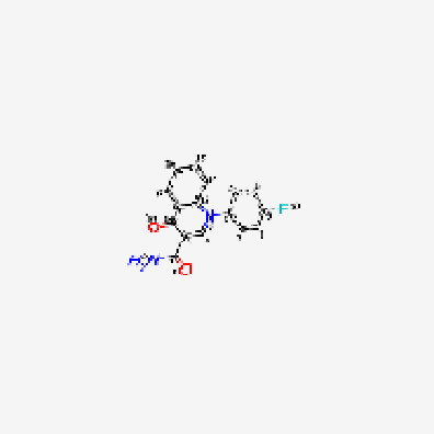 NC(=O)c1cn(-c2ccc(F)cc2)c2ccccc2c1=O